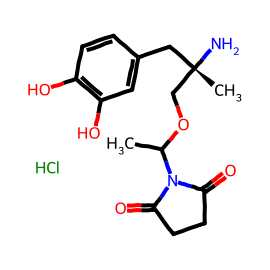 CC(OC[C@@](C)(N)Cc1ccc(O)c(O)c1)N1C(=O)CCC1=O.Cl